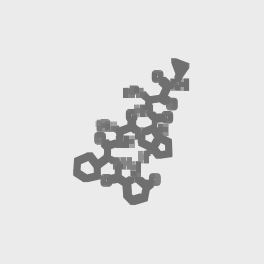 CCC[C@H](NC(=O)[C@@H]1[C@H]2CCC[C@H]2CN1C(=O)[C@@H](NC(=O)[C@@H](NC(=O)c1cccc(=O)[nH]1)C1CCCCC1)C(C)(C)C)C(=O)C(=O)NC1CC1